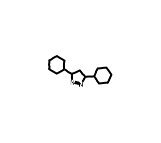 C1CCC(C2CC(C3CCCCC3)N=N2)CC1